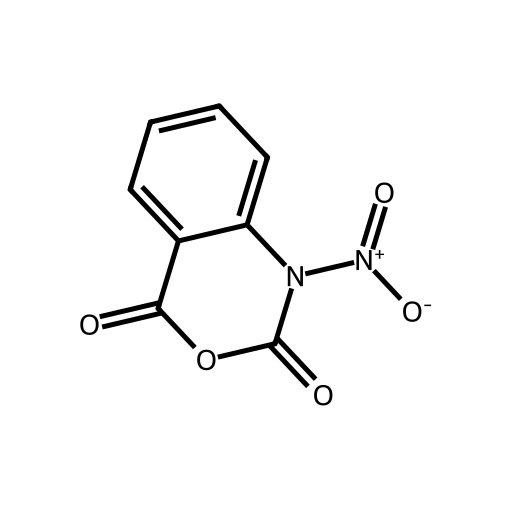 O=c1oc(=O)n([N+](=O)[O-])c2ccccc12